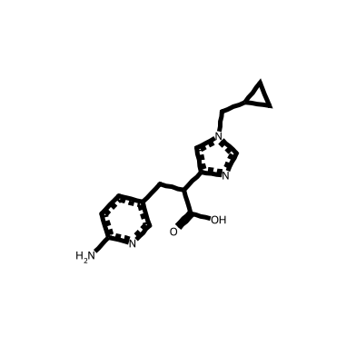 Nc1ccc(CC(C(=O)O)c2cn(CC3CC3)cn2)cn1